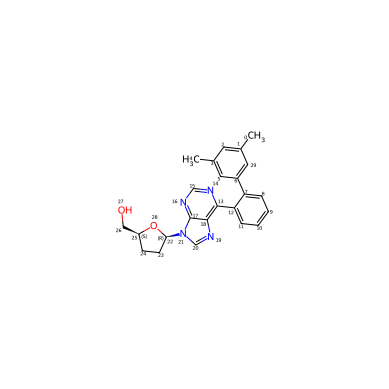 Cc1cc(C)cc(-c2ccccc2-c2ncnc3c2ncn3[C@H]2CC[C@@H](CO)O2)c1